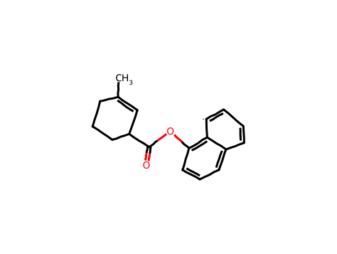 CC1=CC(C(=O)Oc2cccc3ccc[c]c23)CCC1